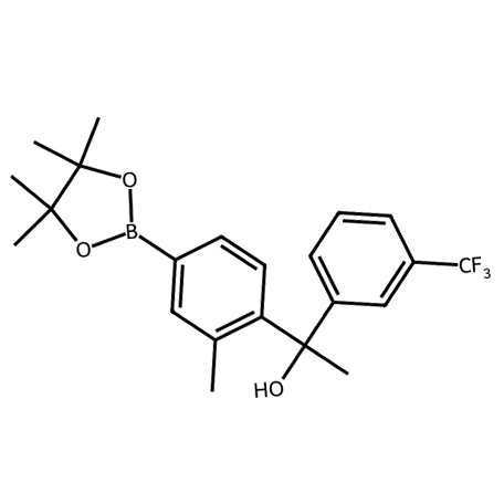 Cc1cc(B2OC(C)(C)C(C)(C)O2)ccc1C(C)(O)c1cccc(C(F)(F)F)c1